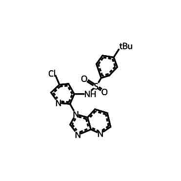 CC(C)(C)c1ccc(S(=O)(=O)Nc2cc(Cl)cnc2-n2cnc3ncccc32)cc1